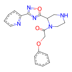 O=C(COc1ccccc1)N1CCNCC1c1nc(-c2ccccn2)no1